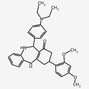 CCN(CC)c1ccc(C2Nc3ccccc3NC3=C2C(=O)CC(c2ccc(OC)cc2OC)C3)cc1